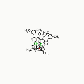 Cc1cc(C)cc(-c2ccc(-c3cc(C)cc(C)c3)c3c2C=C(CC2CCC2)[CH]3[Zr]([Cl])([Cl])([CH]2C(CC3CCC3)=Cc3c(-c4cc(C)cc(C)c4)ccc(-c4cc(C)cc(C)c4)c32)[SiH](C)C)c1